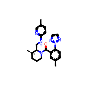 Cc1ccc(NCC2[C@H](C)CCCN2C(=O)c2cc(C)ccc2-n2nccn2)nc1